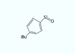 CCC(C)c1ccc([S+]=O)cc1